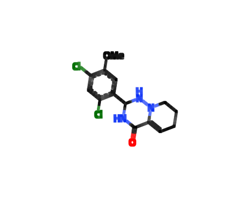 COc1cc(C2NC(=O)C3=CCCCN3N2)c(Cl)cc1Cl